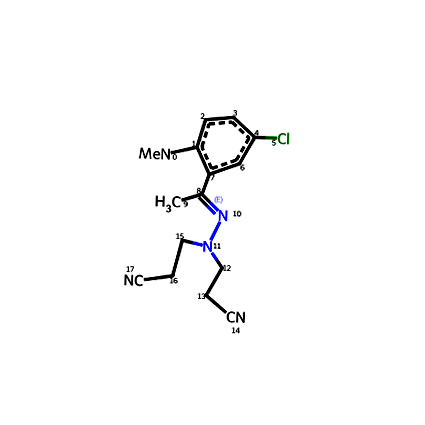 CNc1ccc(Cl)cc1/C(C)=N/N(CCC#N)CCC#N